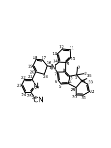 CC1(C)c2c(ccc3c2c2ccccc2n3C2C=CC=C(c3cccc(C#N)n3)C2)C2C=CC=CC21C